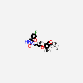 CCCc1cc2c(c(CCC)c1OCCCCN1C(=O)NC(C)(c3ccc(F)cc3)C1=O)COC2(C(F)(F)F)C(F)(F)F